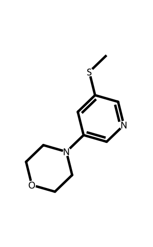 CSc1cncc(N2CCOCC2)c1